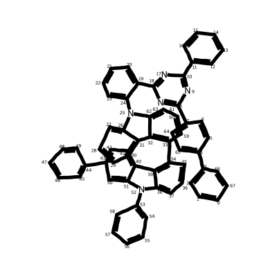 c1ccc(-c2ccc(-c3nc(-c4ccccc4)nc(-c4ccccc4-n4c5ccccc5c5c(-c6cccc7c6c6ccc(-c8ccccc8)cc6n7-c6ccccc6)cccc54)n3)cc2)cc1